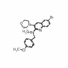 COc1ccc(CNc2nc3ccc(Br)cc3cc2N2CCOC[C@H]2C)cc1